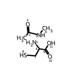 CNC(C)=O.NC(CS)C(=O)O